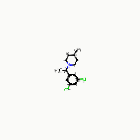 CC(C)C1CCN([C@H](C)c2cc(Cl)cc(Cl)c2)CC1